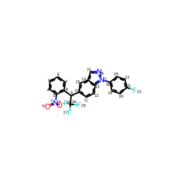 O=[N+]([O-])c1ccccc1[C](c1ccc2c(cnn2-c2ccc(F)cc2)c1)C(F)(F)F